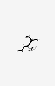 [CH2]C(CC)CCCC.[Zr]